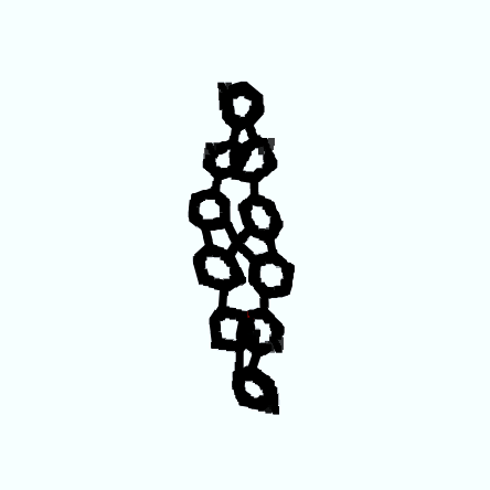 c1cncc(-c2ccc(-c3ccc4c(c3)C3(c5cc(-c6ccc(-c7cccnc7)nc6)ccc5-4)c4cc(-c5ccc(-c6cccnc6)nc5)ccc4-c4ccc(-c5ccc(-c6cccnc6)nc5)cc43)cn2)c1